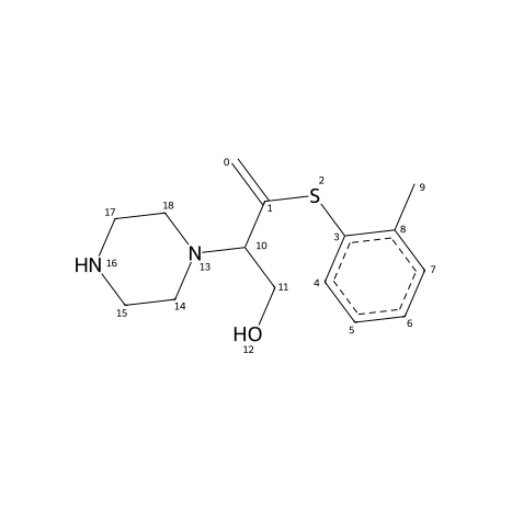 C=C(Sc1ccccc1C)C(CO)N1CCNCC1